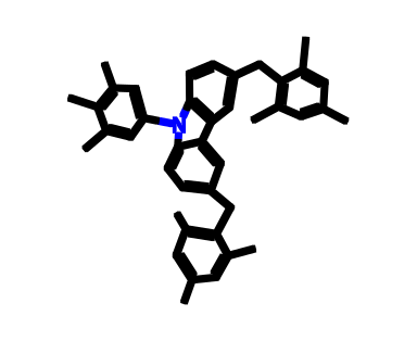 Cc1cc(C)c(Cc2ccc3c(c2)c2cc(Cc4c(C)cc(C)cc4C)ccc2n3-c2cc(C)c(C)c(C)c2)c(C)c1